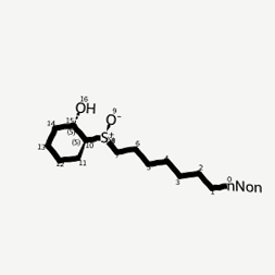 CCCCCCCCCCCCCCCC[S@@+]([O-])[C@H]1CCCC[C@@H]1O